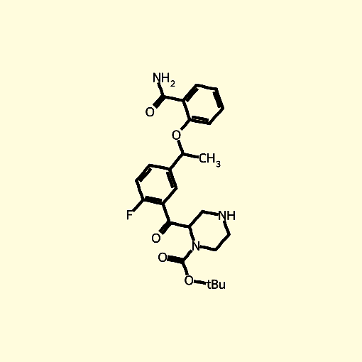 CC(Oc1ccccc1C(N)=O)c1ccc(F)c(C(=O)C2CNCCN2C(=O)OC(C)(C)C)c1